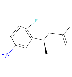 C=C(C)C[C@@H](C)c1cc(N)ccc1F